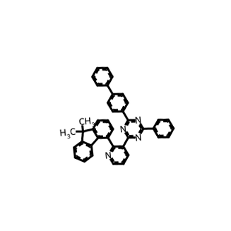 CC1(C)c2ccccc2-c2c(-c3ncccc3-c3nc(-c4ccccc4)nc(-c4ccc(-c5ccccc5)cc4)n3)cccc21